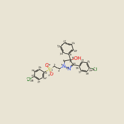 O=S(=O)(CCN1CC(O)(c2ccccc2)C(c2ccc(Cl)cc2)=N1)c1ccc(Cl)cc1